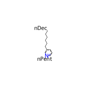 CCCCCCCCCCCCCCCCc1ccc[n+](CCCCC)c1